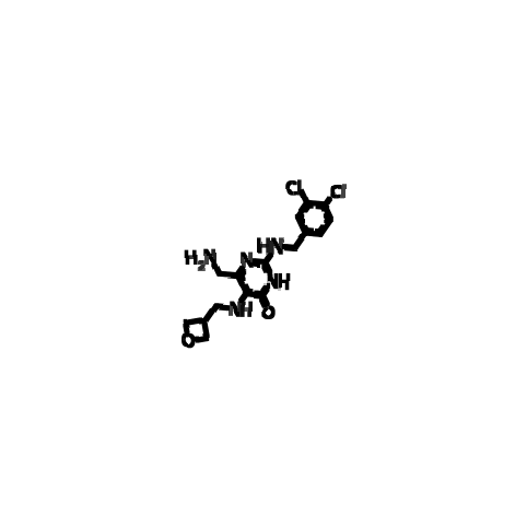 NCc1nc(NCc2ccc(Cl)c(Cl)c2)[nH]c(=O)c1NCC1COC1